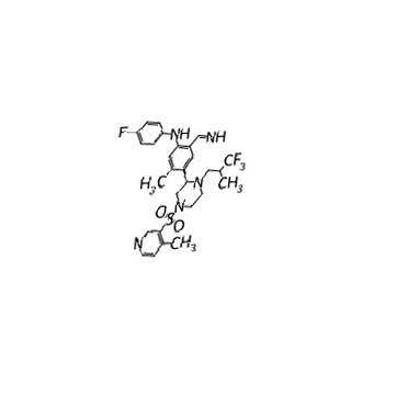 Cc1cc(Nc2ccc(F)cc2)c(C=N)cc1[C@@H]1CN(S(=O)(=O)c2cnccc2C)CCN1CC(C)C(F)(F)F